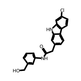 O=C(Cc1ccc2c(c1)[nH]c1cc(Cl)ccc12)Nc1cccc(CO)c1